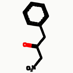 O=C(Cc1ccccc1)C[N+](=O)[O-]